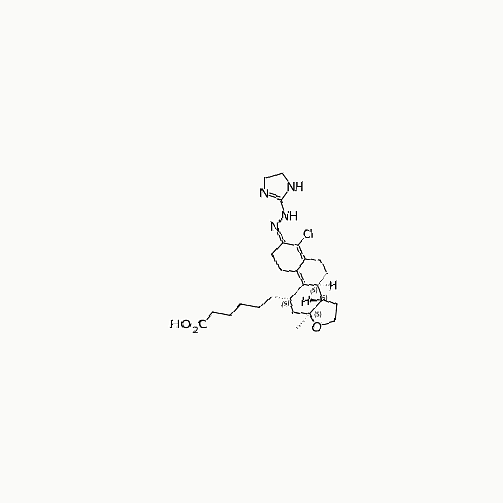 C[C@]12C[C@H](CCCCCC(=O)O)C3=C4CCC(=NNC5=NCCN5)C(Cl)=C4CC[C@H]3[C@@H]1CCO2